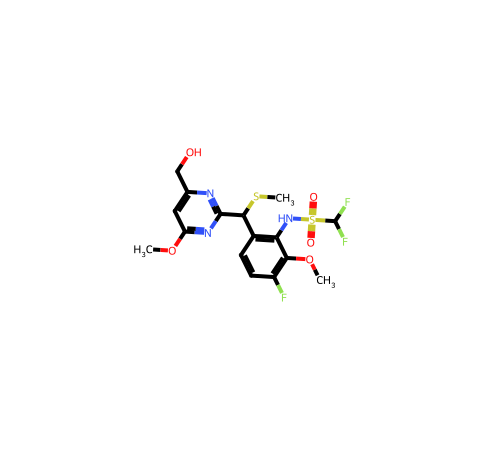 COc1cc(CO)nc(C(SC)c2ccc(F)c(OC)c2NS(=O)(=O)C(F)F)n1